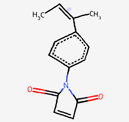 C/C=C(/C)c1ccc(N2C(=O)C=CC2=O)cc1